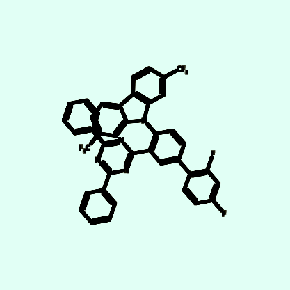 Fc1ccc(-c2ccc(-n3c4cc(C(F)(F)F)ccc4c4ccc(C(F)(F)F)cc43)c(-c3nc(-c4ccccc4)nc(-c4ccccc4)n3)c2)c(F)c1